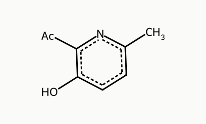 CC(=O)c1nc(C)ccc1O